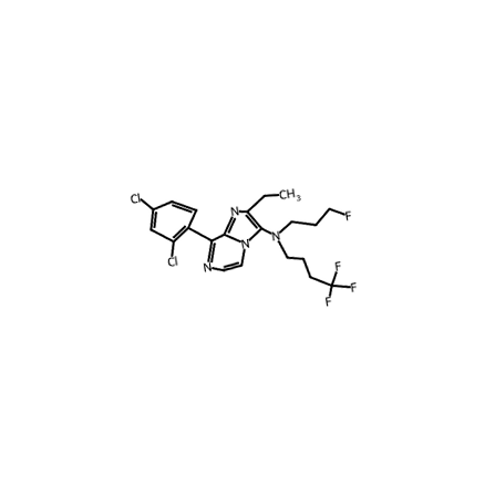 CCc1nc2c(-c3ccc(Cl)cc3Cl)nccn2c1N(CCCF)CCCC(F)(F)F